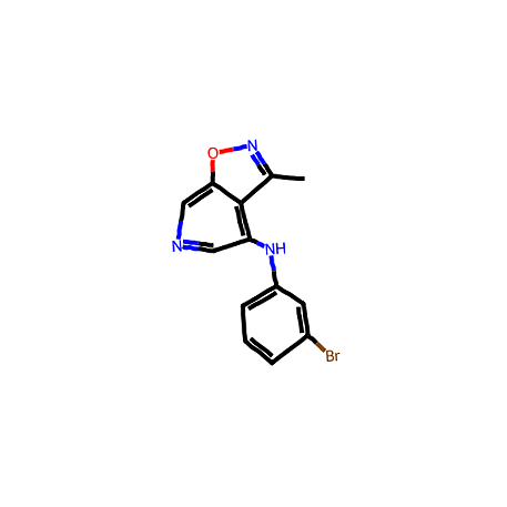 Cc1noc2cncc(Nc3cccc(Br)c3)c12